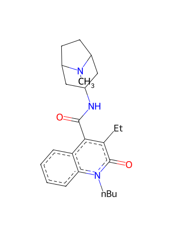 CCCCn1c(=O)c(CC)c(C(=O)NC2CC3CCC(C2)N3C)c2ccccc21